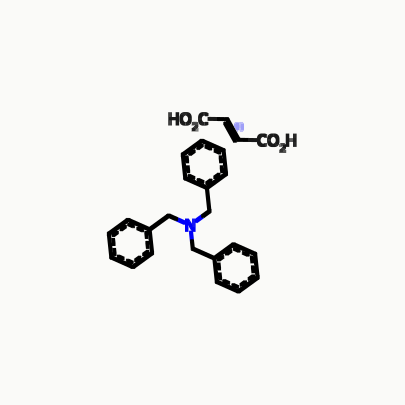 O=C(O)/C=C/C(=O)O.c1ccc(CN(Cc2ccccc2)Cc2ccccc2)cc1